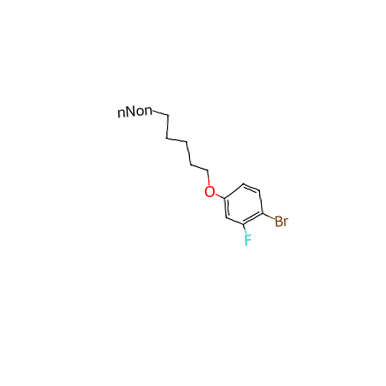 CCCCCCCCCCCCCCOc1ccc(Br)c(F)c1